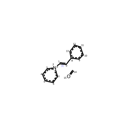 C(=C\[n+]1ccccc1)/c1ccccc1.C=O